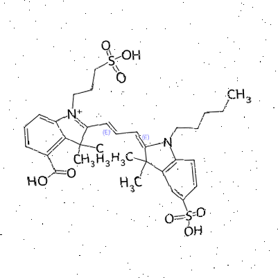 CCCCCN1/C(=C/C=C/C2=[N+](CCCS(=O)(=O)O)c3cccc(C(=O)O)c3C2(C)C)C(C)(C)c2cc(S(=O)(=O)O)ccc21